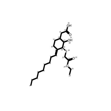 CCCCCCCCC=C1CCC(CC(=O)O)C(O)[C@H]1SCC(=O)OCC